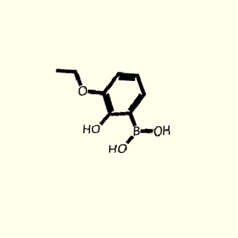 CCOc1cccc(B(O)O)c1O